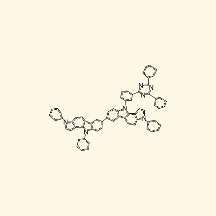 c1ccc(-c2nc(-c3ccccc3)nc(-c3cccc(-n4c5ccc(-c6ccc7c(c6)c6ccc8c(ccn8-c8ccccc8)c6n7-c6ccccc6)cc5c5ccc6c(ccn6-c6ccccc6)c54)c3)n2)cc1